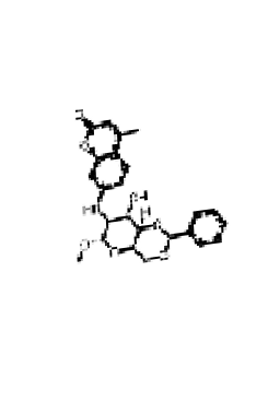 CO[C@H]1OC2COC(c3ccccc3)O[C@H]2[C@H](O)C1Nc1ccc2c(C)cc(=O)oc2c1